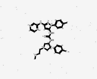 COCCN1C[C@@H](NC(=O)Nc2cc(Oc3cnccn3)nn2-c2ccc(C)cc2)[C@H](c2ccc(F)cc2)C1